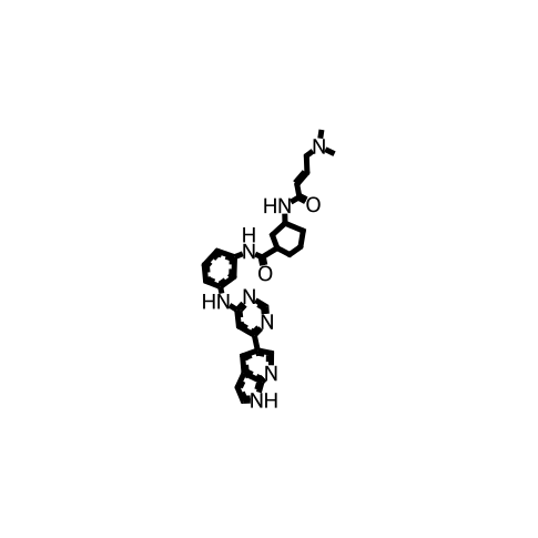 CN(C)C/C=C/C(=O)NC1CCCC(C(=O)Nc2cccc(Nc3cc(-c4cnc5[nH]ccc5c4)ncn3)c2)C1